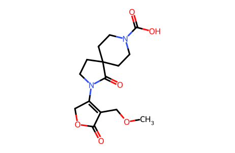 COCC1=C(N2CCC3(CCN(C(=O)O)CC3)C2=O)COC1=O